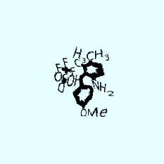 COc1ccc(Cc2c(N)ccc(C)c2C)cc1.O=S(=O)(O)C(F)(F)F